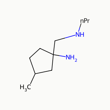 CCCNCC1(N)CCC(C)C1